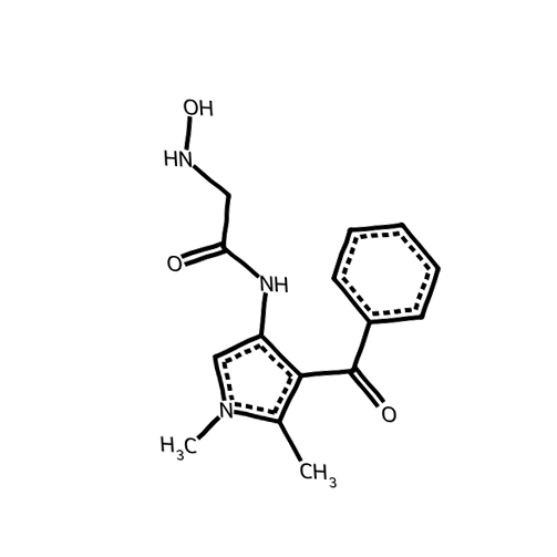 Cc1c(C(=O)c2ccccc2)c(NC(=O)CNO)cn1C